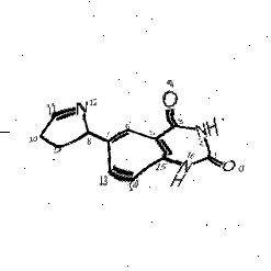 O=c1[nH]c(=O)c2cc(C3CCC=N3)ccc2[nH]1